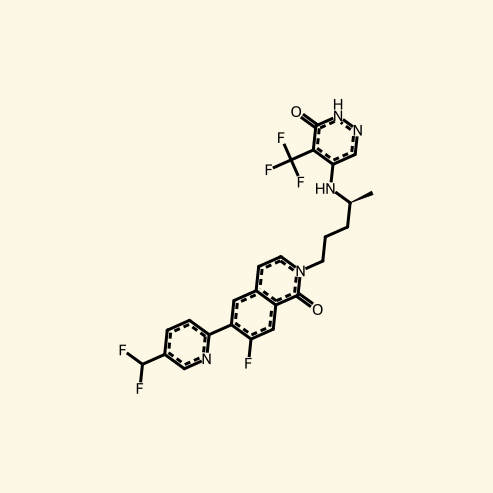 C[C@@H](CCCn1ccc2cc(-c3ccc(C(F)F)cn3)c(F)cc2c1=O)Nc1cn[nH]c(=O)c1C(F)(F)F